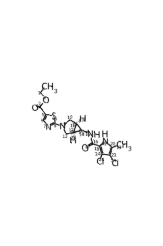 CCOC(=O)c1cnc(N2C[C@@H]3[C@H](C2)[C@@H]3NC(=O)c2[nH]c(C)c(Cl)c2Cl)s1